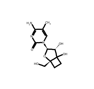 Cc1cn([C@@H]2O[C@@]3(CO)CCC3(O)[C@H]2O)c(=O)nc1N